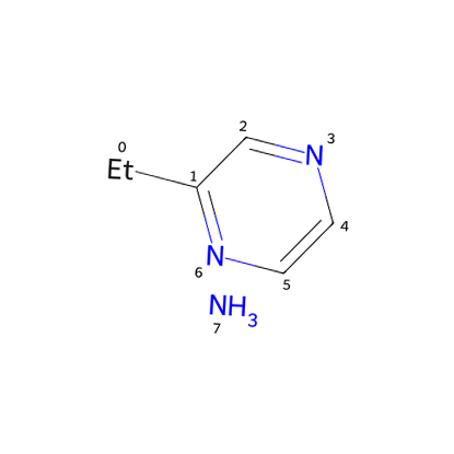 CCc1cnccn1.N